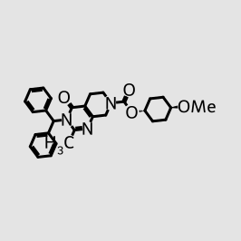 CO[C@H]1CC[C@H](OC(=O)N2CCc3c(nc(C)n(C(c4ccccc4)c4ccccc4)c3=O)C2)CC1